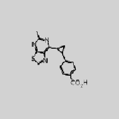 Cc1nc(C2CC2c2ccc(C(=O)O)cc2)c2ncsc2n1